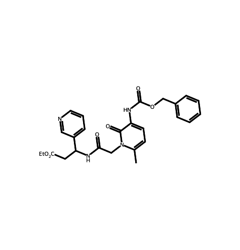 CCOC(=O)CC(NC(=O)Cn1c(C)ccc(NC(=O)OCc2ccccc2)c1=O)c1cccnc1